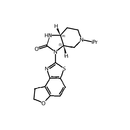 CC(C)N1CC[C@H]2NC(=O)N(c3nc4c5c(ccc4s3)OCC5)[C@H]2C1